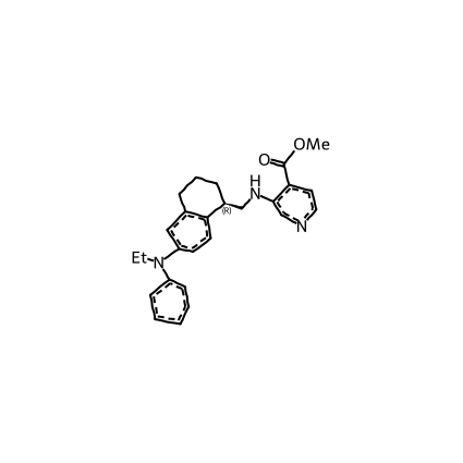 CCN(c1ccccc1)c1ccc2c(c1)CCC[C@H]2CNc1cnccc1C(=O)OC